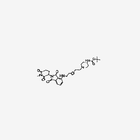 CN1C(=O)CCC(N2C(=O)c3cccc(NCCOCCN4CCC(NC(=O)OC(C)(C)C)CC4)c3C2=O)C1=O